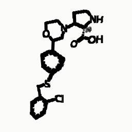 O=C(O)[C@H]1NCCC1N1CCOC(c2ccc(SCc3ccccc3Cl)cc2)C1